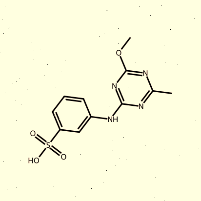 COc1nc(C)nc(Nc2cccc(S(=O)(=O)O)c2)n1